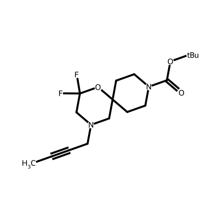 CC#CCN1CC(F)(F)OC2(CCN(C(=O)OC(C)(C)C)CC2)C1